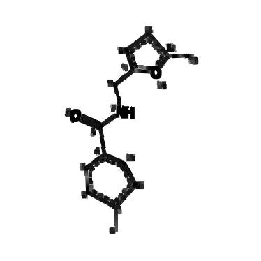 Cc1ccc(C(=O)NCc2ccc(C)o2)cc1